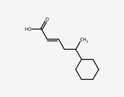 CC(CC=CC(=O)O)C1CCCCC1